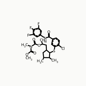 COC(=O)N(C)C(=O)OC(C)CC1CC(C)C(C)C1Sc1cc(C(=O)Nc2cc(F)c(F)c(F)c2)ccc1Cl